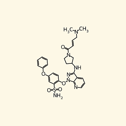 CN(C)C/C=C/C(=O)N1CCC(Nc2nn(Oc3ccc(Oc4ccccc4)cc3S(N)(=O)=O)c3ncccc23)C1